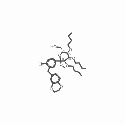 CCCCO[C@H]1[C@H](OCCCC)[C@@H](CO)OC(OC)(c2ccc(Cl)c(Cc3ccc4c(c3)OCCO4)c2)[C@@H]1OCCCC